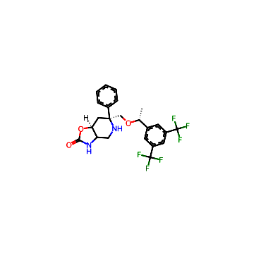 C[C@@H](OC[C@@]1(c2ccccc2)C[C@@H]2OC(=O)NC2CN1)c1cc(C(F)(F)F)cc(C(F)(F)F)c1